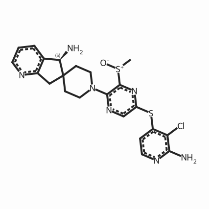 C[S+]([O-])c1nc(Sc2ccnc(N)c2Cl)cnc1N1CCC2(CC1)Cc1ncccc1[C@H]2N